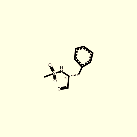 CS(=O)(=O)N[C@@H]([C]=O)Cc1ccccc1